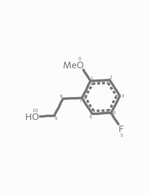 COc1ccc(F)cc1CCO